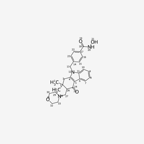 CC1(C)Cc2c(c3ccccc3n2Cc2ccc(C(=O)NO)cc2)C(=O)C1CN1CCOCC1